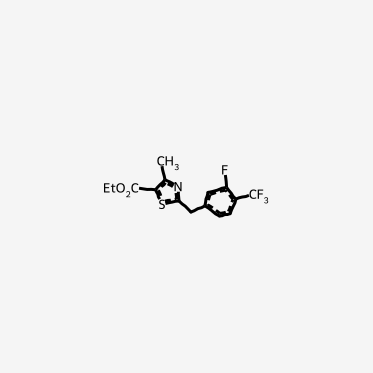 CCOC(=O)c1sc(Cc2ccc(C(F)(F)F)c(F)c2)nc1C